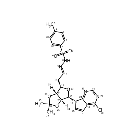 Cc1ccc(S(=O)(=O)NN=CC[C@H]2O[C@@H](n3ccc4c(Cl)ncnc43)[C@@H]3OC(C)(C)O[C@@H]32)cc1